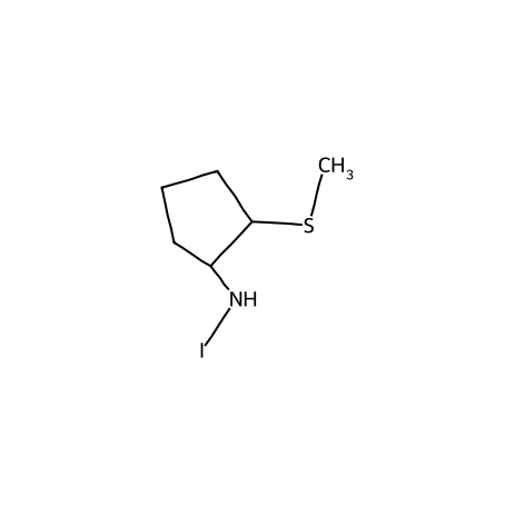 CSC1CCCC1NI